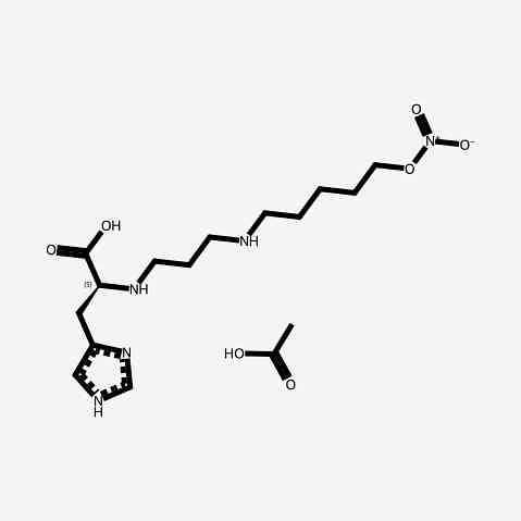 CC(=O)O.O=C(O)[C@H](Cc1c[nH]cn1)NCCCNCCCCCO[N+](=O)[O-]